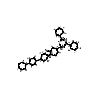 c1ccc(-c2ccc(-c3ccc4c(c3)sc3cc(-c5nc(-c6ccccc6)nc(-c6ccccc6)n5)ccc34)cc2)cc1